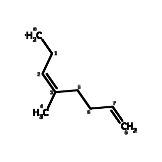 [CH2]CC=C(C)CCC=C